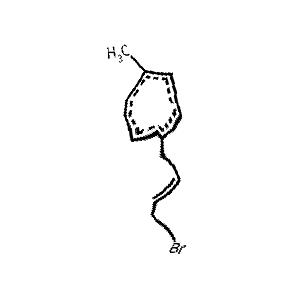 Cc1ccc(C=CBr)cc1